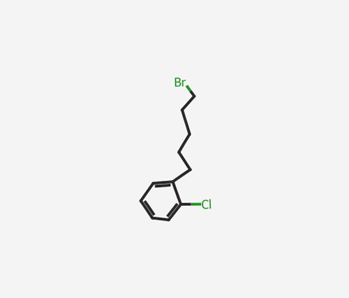 Clc1ccccc1CCCCCBr